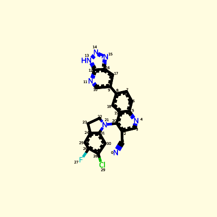 N#Cc1cnc2ccc(-c3cnc4[nH]nnc4c3)cc2c1N1CCc2cc(F)c(Cl)cc21